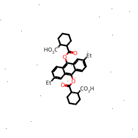 CCc1ccc2c(OC(=O)C3CCCCC3C(=O)O)c3cc(CC)ccc3c(OC(=O)C3CCCCC3C(=O)O)c2c1